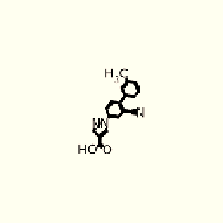 Cc1cccc(-c2ccc(-n3cc(C(=O)O)cn3)cc2C#N)c1